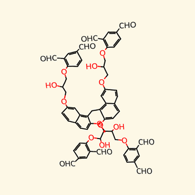 O=Cc1ccc(OCC(O)COc2ccc3ccc(OCC(O)COc4ccc(C=O)cc4C=O)c(Cc4c(OCC(O)Oc5ccc(C=O)cc5C=O)ccc5ccc(OCC(O)COc6ccc(C=O)cc6C=O)cc45)c3c2)c(C=O)c1